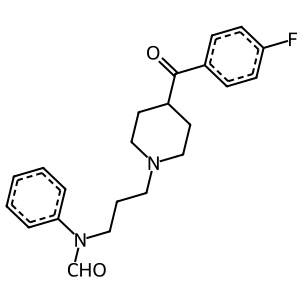 O=CN(CCCN1CCC(C(=O)c2ccc(F)cc2)CC1)c1ccccc1